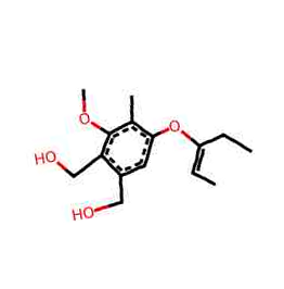 CC=C(CC)Oc1cc(CO)c(CO)c(OC)c1C